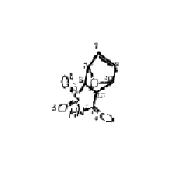 O=C1NS(=O)(=O)C2C3C=CC(O3)C12